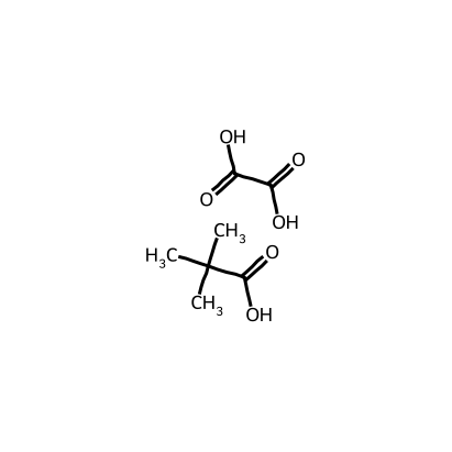 CC(C)(C)C(=O)O.O=C(O)C(=O)O